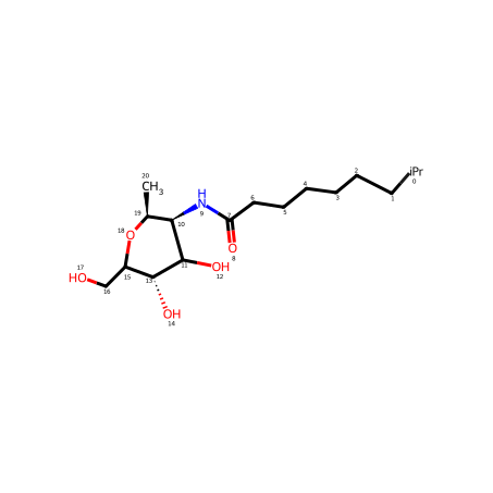 CC(C)CCCCCCC(=O)N[C@H]1C(O)[C@H](O)C(CO)O[C@H]1C